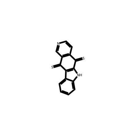 S=C1c2ccncc2C(=S)c2c1[nH]c1ccccc21